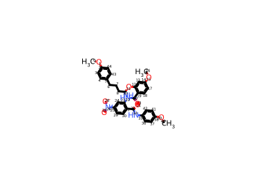 COc1ccc(CCCC(N)Oc2cc(OC)ccc2C(=O)Nc2cc([N+](=O)[O-])ccc2C(=O)Nc2ccc(OC)cc2)cc1